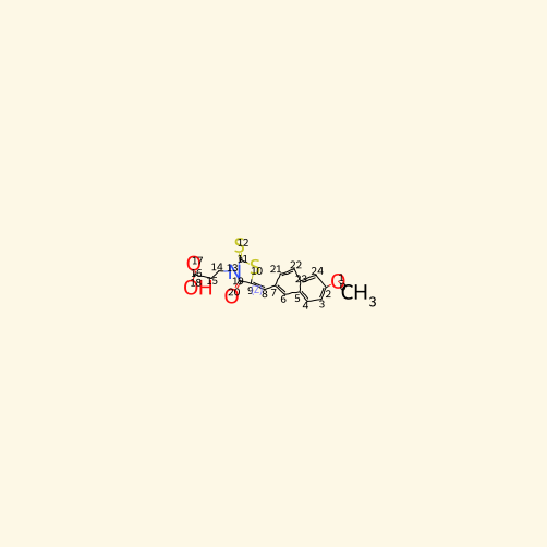 COc1ccc2cc(/C=C3\SC(=S)N(CCC(=O)O)C3=O)ccc2c1